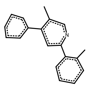 Cc1cnc(-c2ccccc2C)cc1-c1ccccc1